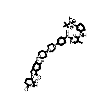 Cc1cnc(Nc2ccc(N3CCN(C4CCN(Cc5cc6c(cc5F)C(=O)N(C5CCC(=O)NC5=O)C6)CC4)CC3)cc2)nc1Nc1cccc(S(=O)(=O)NC(C)(C)C)c1